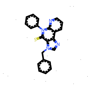 S=c1c2c(ncn2Cc2ccccc2)c2cccnc2n1-c1ccccc1